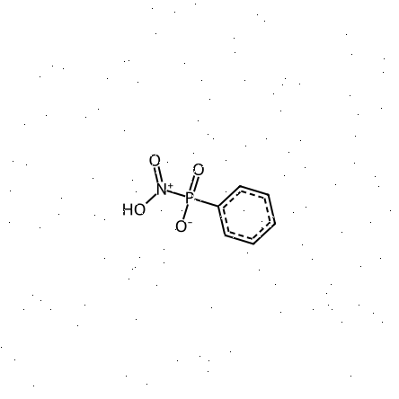 O=[N+](O)P(=O)([O-])c1ccccc1